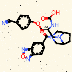 N#Cc1ccc(OC[C@H](CN2C3CCC2CN(C(=O)c2ccc4nonc4c2)C3)NC(=O)O)cc1